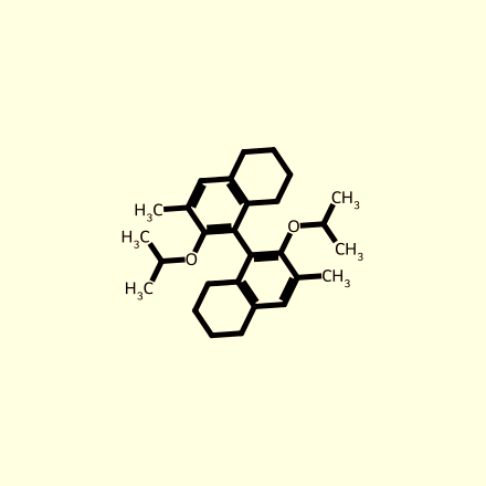 Cc1cc2c(c(-c3c4c(cc(C)c3OC(C)C)CCCC4)c1OC(C)C)CCCC2